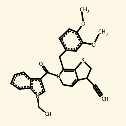 C#CC1CSC2=C(Cc3ccc(OC)c(OC)c3)N(C(=O)c3cn(CC)c4ccccc34)CC=C21